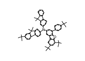 CC(C)(C)c1ccc(-c2cc(N(c3ccc4c(c3)C(C)(C)c3ccccc3-4)c3ccc4c(c3)C(C)(C)c3cc(C(C)(C)C)ccc3-4)cc3c2oc2c(C(C)(C)C)cc(C(C)(C)C)cc23)cc1